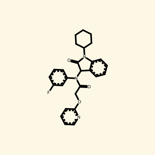 O=C1C(N(C(=O)COc2ccccn2)c2cccc(F)c2)c2ccccc2N1C1CCCCC1